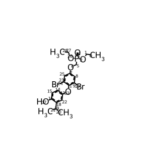 CCOP(=O)(COc1cc(Br)c(Oc2ccc(O)c(C(C)C)c2)c(Br)c1)OCC